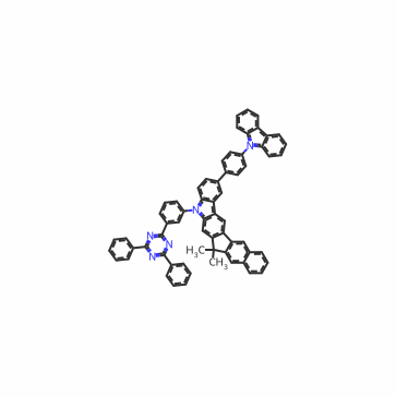 CC1(C)c2cc3ccccc3cc2-c2cc3c4cc(-c5ccc(-n6c7ccccc7c7ccccc76)cc5)ccc4n(-c4cccc(-c5nc(-c6ccccc6)nc(-c6ccccc6)n5)c4)c3cc21